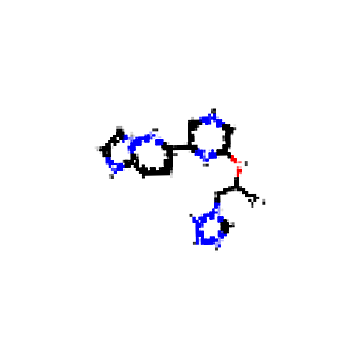 CC(Cn1cnnn1)Oc1cncc(-c2ccc3nccn3n2)n1